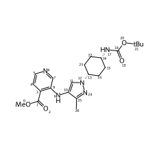 COC(=O)c1ccncc1Nc1cn([C@H]2CC[C@@H](NC(=O)OC(C)(C)C)CC2)nc1C